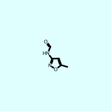 Cc1cc(NC=O)no1